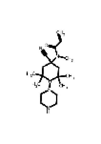 C=CC(=O)N(C)C1(C#N)CC(C)(C)N(N2CCNCC2)C(C)(C)C1